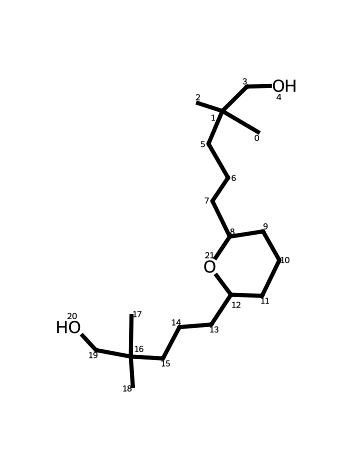 CC(C)(CO)CCCC1CCCC(CCCC(C)(C)CO)O1